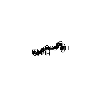 O=C(COc1ccc(-c2nc3cc(OC(F)(F)F)ccc3[nH]2)nc1)NCCOCCOc1ccc2c(ccc3occ(C4CCC(=O)NC4=O)c32)c1